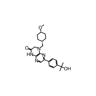 CO[C@H]1CC[C@@H](CN2CC(=O)Nc3ncc(-c4ccc(C(C)(C)O)cc4)nc32)CC1